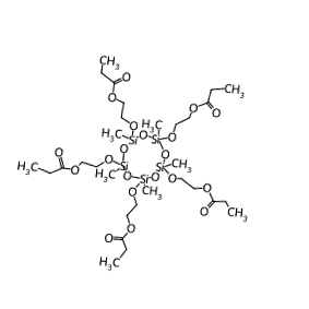 CCC(=O)OCCO[Si]1(C)O[Si](C)(OCCOC(=O)CC)O[Si](C)(OCCOC(=O)CC)O[Si](C)(OCCOC(=O)CC)O[Si](C)(OCCOC(=O)CC)O1